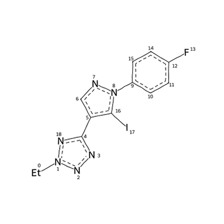 CCn1nnc(-c2cnn(-c3ccc(F)cc3)c2I)n1